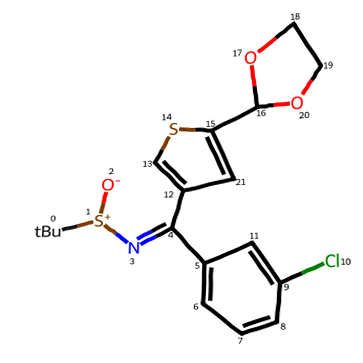 CC(C)(C)[S+]([O-])N=C(c1cccc(Cl)c1)c1csc(C2OCCO2)c1